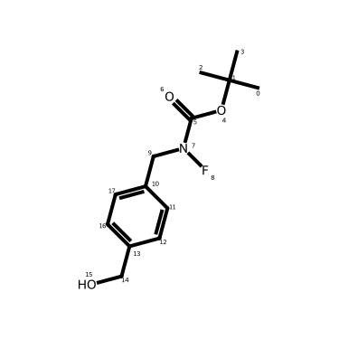 CC(C)(C)OC(=O)N(F)Cc1ccc(CO)cc1